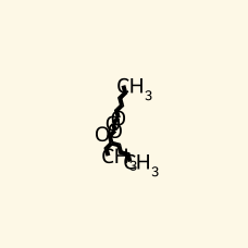 CCCCCOOOC(=O)C(CC)CCCC